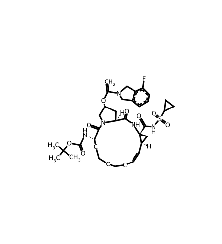 C=C(O[C@@H]1C[C@H]2C(=O)N[C@]3(C(=O)NS(=O)(=O)C4CC4)C[C@H]3/C=C\CCCCC[C@H](NC(=O)OC(C)(C)C)C(=O)N2C1)N1Cc2cccc(F)c2C1